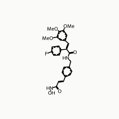 COc1cc(C=C(C(=O)NCc2ccc(C=CC(=O)NO)cc2)c2ccc(F)cc2)cc(OC)c1OC